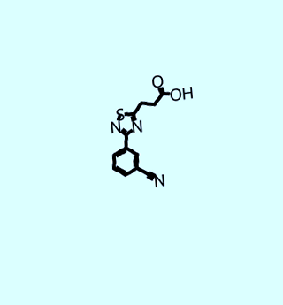 N#Cc1cccc(-c2nsc(CCC(=O)O)n2)c1